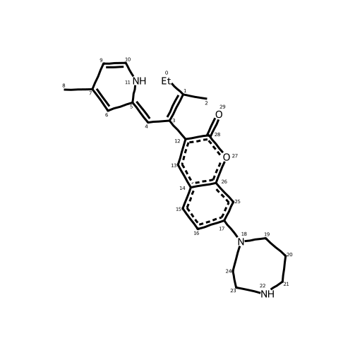 CC/C(C)=C(\C=C1\C=C(C)C=CN1)c1cc2ccc(N3CCCNCC3)cc2oc1=O